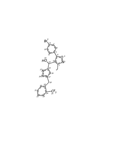 Cc1noc(-c2ccc(Br)cc2)c1C(O)c1cn(Cc2ccccc2C(F)(F)F)nn1